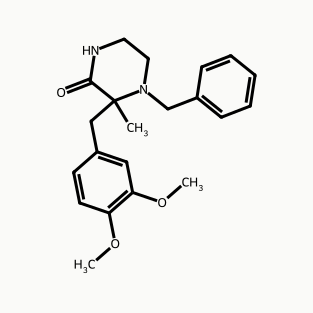 COc1ccc(CC2(C)C(=O)NCCN2Cc2ccccc2)cc1OC